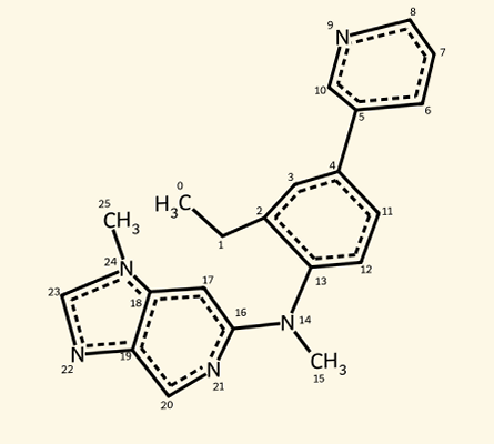 CCc1cc(-c2cccnc2)ccc1N(C)c1cc2c(cn1)ncn2C